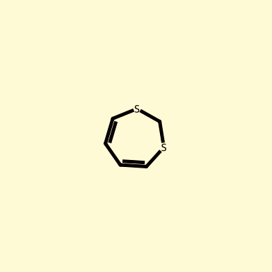 C1=CSCSC=C1